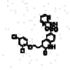 O=C1Nc2ccc(S(=O)(=O)Nc3ncccn3)cc2CC1CCOc1ccc(Cl)cc1Cl